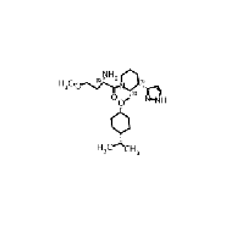 COCC[C@H](N)C(=O)N1CCC[C@H](c2cc[nH]n2)[C@@H]1CO[C@H]1CC[C@@H](C(C)C)CC1